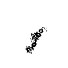 CN1CCN(c2ccc(S(=O)(=O)NCc3ccc(C(=O)Nc4cccnc4)cc3)cc2)CC1